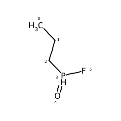 CCC[PH](=O)F